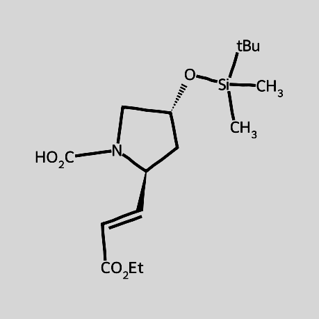 CCOC(=O)C=C[C@@H]1C[C@@H](O[Si](C)(C)C(C)(C)C)CN1C(=O)O